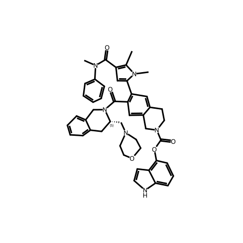 Cc1c(C(=O)N(C)c2ccccc2)cc(-c2cc3c(cc2C(=O)N2Cc4ccccc4C[C@H]2CN2CCOCC2)CN(C(=O)Oc2cccc4[nH]ccc24)CC3)n1C